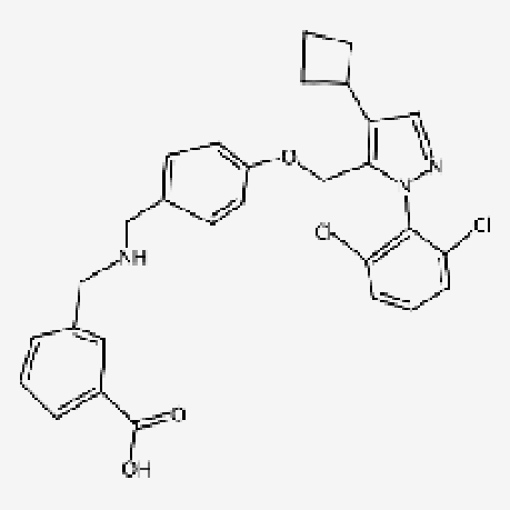 O=C(O)c1cccc(CNCc2ccc(OCc3c(C4CCC4)cnn3-c3c(Cl)cccc3Cl)cc2)c1